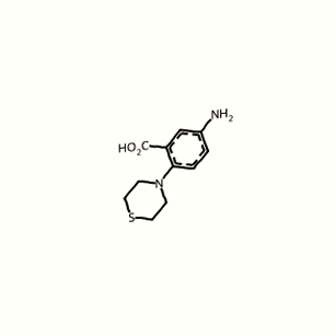 Nc1ccc(N2CCSCC2)c(C(=O)O)c1